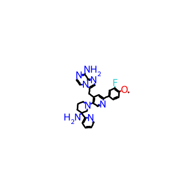 COc1ccc(-c2cc(Cc3cnc4c(N)nccn34)c(N3CCCC(N)(c4ccccn4)C3)cn2)cc1F